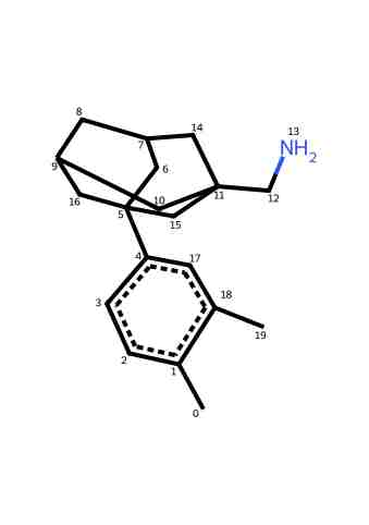 Cc1ccc(C23CC4CC(CC(CN)(C4)C2)C3)cc1C